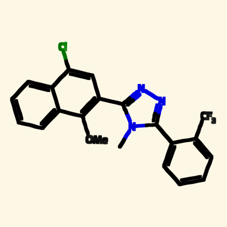 COc1c(-c2nnc(-c3ccccc3C(F)(F)F)n2C)cc(Cl)c2ccccc12